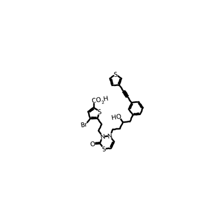 O=C(O)c1cc(Br)c(CCN2C(=O)SC=CN2CCC(O)Cc2cccc(C#Cc3ccsc3)c2)s1